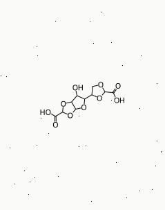 O=C(O)C1OCC(C2OC3OC(C(=O)O)OC3C2O)O1